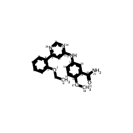 CCOc1ccccc1-c1cc(Nc2ccc(OC)c(C(N)=O)c2)ncn1